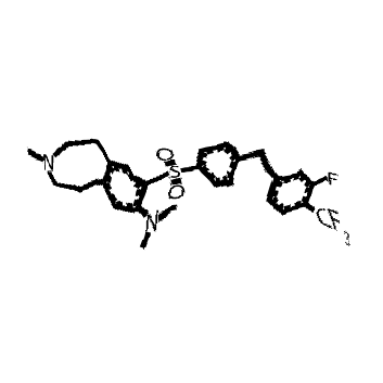 CN1CCc2cc(N(C)C)c(S(=O)(=O)c3ccc(Cc4ccc(C(F)(F)F)c(F)c4)cc3)cc2CC1